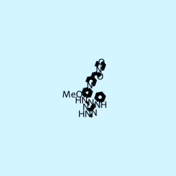 COc1cc(N2CCC(CC(=O)N3CCOCC3)CC2)ccc1Nc1nc(NC2CCCCC2)c2nc[nH]c2n1